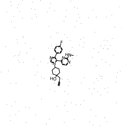 C#CCC1(O)CCC(n2cnc(-c3ccc(F)cc3)c2-c2ccnc(NC)n2)CC1